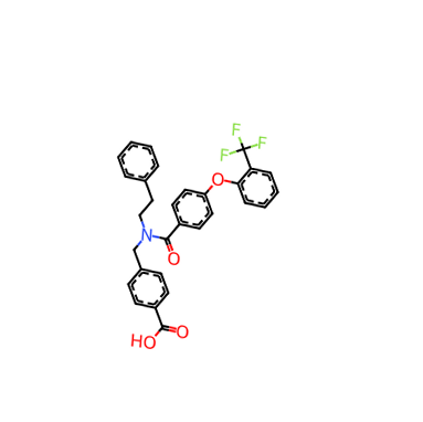 O=C(O)c1ccc(CN(CCc2ccccc2)C(=O)c2ccc(Oc3ccccc3C(F)(F)F)cc2)cc1